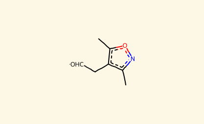 Cc1noc(C)c1C[C]=O